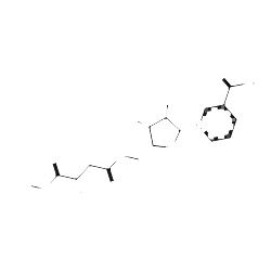 COC(=O)[C@@H](O)CC(=O)OC[C@H]1O[C@@H]([n+]2cccc(C(=O)O)c2)[C@H](O)[C@@H]1O